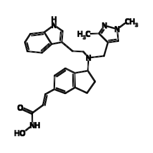 Cc1nn(C)cc1CN(CCc1c[nH]c2ccccc12)C1CCc2cc(C=CC(=O)NO)ccc21